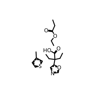 CCC(CC)(C(=O)O)c1cnco1.CCOC(=O)CC.Cc1ccsc1